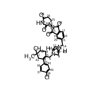 CC1(C)CCC(CN2C[C@H]3C[C@@H]2CN3Cc2ccc3c(c2)C(=O)N(N2CCC(=O)NC2=O)C3=O)=C(c2ccc(Cl)cc2)C1